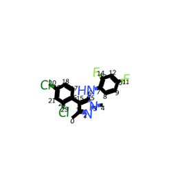 Cc1nn(C)c(Nc2ccc(F)cc2F)c1-c1ccc(Cl)cc1Cl